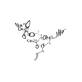 C=CCOCC=C.C[C@H](O)C(=O)[O-].O=S(=O)([O-])[O-].[Na+].[Na+].[Na+]